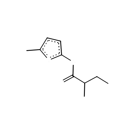 CCC(C)C(=O)Oc1ccc(C)s1